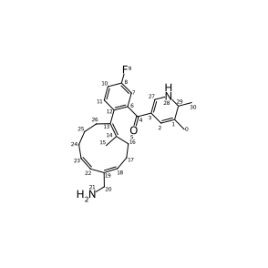 CC1=CC(C(=O)c2cc(F)ccc2/C2=C(/C)CC/C=C(CN)\C=C/CCC2)=CNC1C